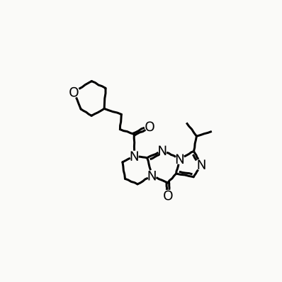 CC(C)c1ncc2c(=O)n3c(nn12)N(C(=O)CCC1CCOCC1)CCC3